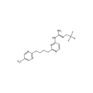 Cc1cnc(CCCCc2nccc(NC(N)=NCC(F)(F)F)n2)nc1